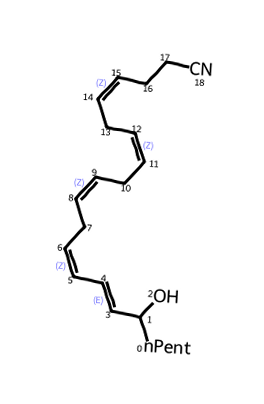 CCCCCC(O)/C=C/C=C\C/C=C\C/C=C\C/C=C\CCC#N